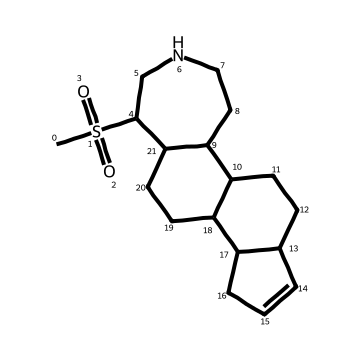 CS(=O)(=O)C1CNCCC2C3CCC4C=CCC4C3CCC21